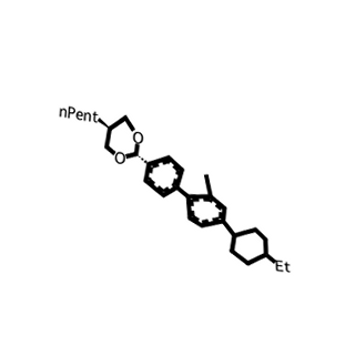 CCCCC[C@H]1CO[C@H](c2ccc(-c3ccc(C4CCC(CC)CC4)cc3C)cc2)OC1